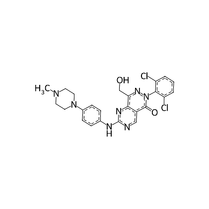 CN1CCN(c2ccc(Nc3ncc4c(=O)n(-c5c(Cl)cccc5Cl)nc(CO)c4n3)cc2)CC1